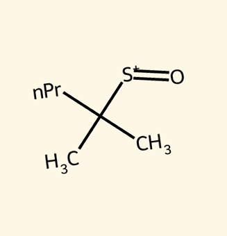 CCCC(C)(C)[S+]=O